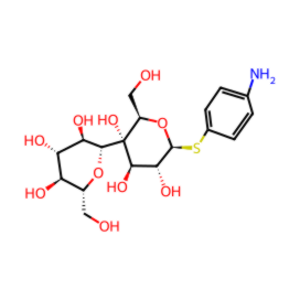 Nc1ccc(S[C@@H]2O[C@H](CO)[C@](O)([C@@H]3O[C@H](CO)[C@@H](O)[C@H](O)[C@H]3O)[C@H](O)[C@H]2O)cc1